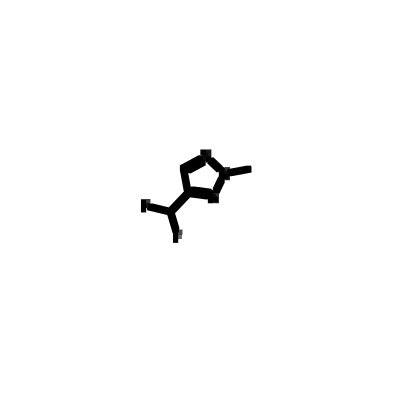 Cn1ncc(C(F)F)n1